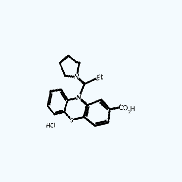 CCC(N1CCCC1)N1c2ccccc2Sc2ccc(C(=O)O)cc21.Cl